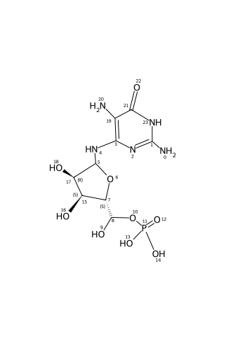 Nc1nc(NC2O[C@H](C(O)OP(=O)(O)O)[C@@H](O)[C@H]2O)c(N)c(=O)[nH]1